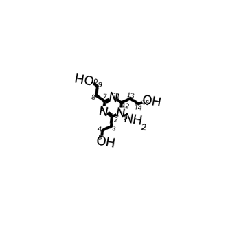 NN1C(CCO)=NC(CCO)=NC1CCO